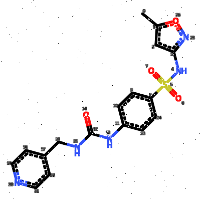 Cc1cc(NS(=O)(=O)c2ccc(NC(=O)NCc3ccncc3)cc2)no1